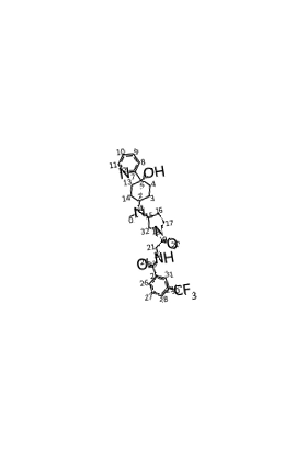 CN(C1CCC(O)(c2ccccn2)CC1)[C@H]1CCN(C(=O)CNC(=O)c2cccc(C(F)(F)F)c2)C1